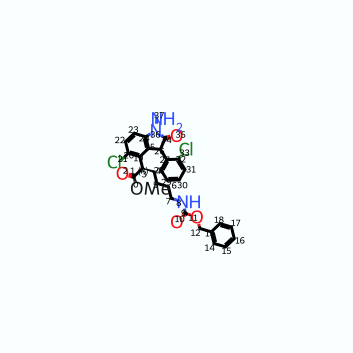 COC(=O)[C@H](CCCCNC(=O)OCc1ccccc1)c1c(Cl)ccc2c1C(c1ccccc1Cl)C(=O)N2N